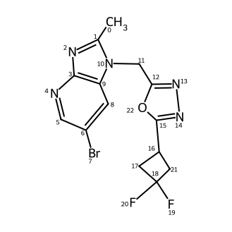 Cc1nc2ncc(Br)cc2n1Cc1nnc(C2CC(F)(F)C2)o1